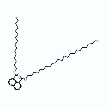 CCCCCCCCCCCCCCCCCCCCCCCCOC(=O)c1cccc2cccc(C(=O)OCCCCCCCCCCCCCCCC)c12